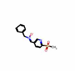 CS(=O)(=O)c1ccc(C=[N+]([O-])Cc2ccccc2)cn1